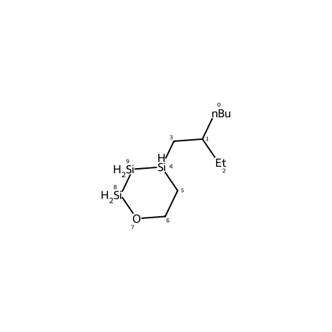 CCCCC(CC)C[SiH]1CCO[SiH2][SiH2]1